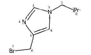 C[C](C)Cn1cnc(CBr)c1